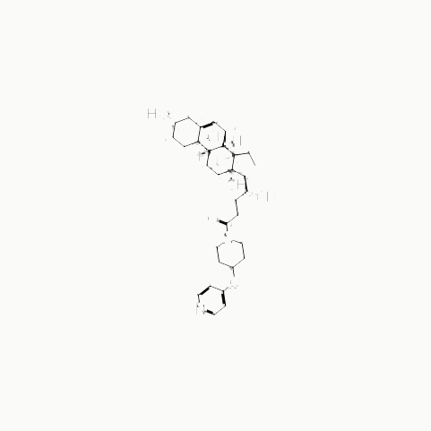 C[C@H](CCC(=O)N1CCC(Oc2ccncc2)CC1)[C@H]1CC[C@H]2[C@@H]3CC=C4C[C@@H](O)CC[C@]4(C)[C@H]3CC[C@]12C